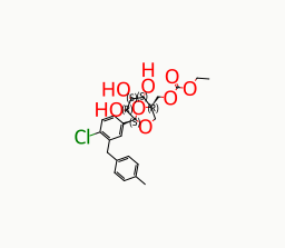 CCOC(=O)OC[C@@]12CO[C@@](c3ccc(Cl)c(Cc4ccc(C)cc4)c3)(O1)[C@H](O)[C@@H](O)[C@@H]2O